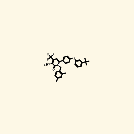 [C-]#[N+]c1c(C(F)(F)F)cc(-c2ccc(Oc3cccc(C(C)(C)C)c3)cc2)n(Cc2ccc(C)cc2C)c1=O